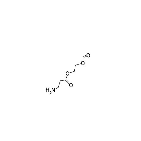 NCCC(=O)OCCOC=O